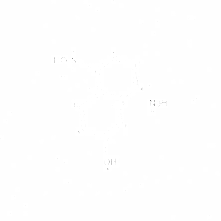 O=S(=O)(O)c1[c]ccc2cc(O)ccc12.[NaH]